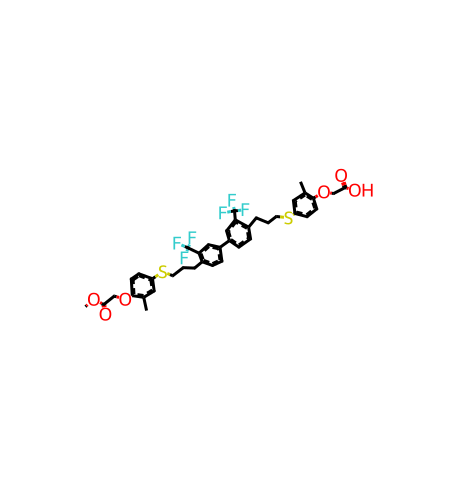 COC(=O)COc1ccc(SCCCc2ccc(-c3ccc(CCCSc4ccc(OCC(=O)O)c(C)c4)c(C(F)(F)F)c3)cc2C(F)(F)F)cc1C